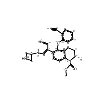 COC(=O)N1c2ccc(/C(C=N)=C/NC3CNC3)c(Oc3ccccc3C#N)c2CC[C@@H]1C